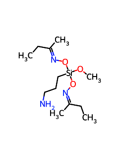 CCC(C)=NO[Si](CCCN)(OC)ON=C(C)CC